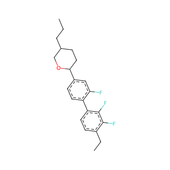 CCCC1CCC(c2ccc(-c3ccc(CC)c(F)c3F)c(F)c2)OC1